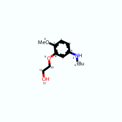 COc1ccc(NC(C)(C)C)cc1OCCO